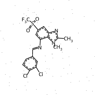 Cc1nc2cc(S(=O)(=O)C(F)(F)F)cc(N=Cc3ccc(Cl)c(Cl)c3)c2n1C